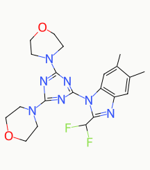 Cc1cc2nc(C(F)F)n(-c3nc(N4CCOCC4)nc(N4CCOCC4)n3)c2cc1C